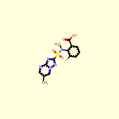 Cc1cnc2nc(S(=O)(=O)N(C)c3c(F)cccc3C(=O)O)nn2c1